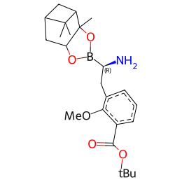 COc1c(C[C@H](N)B2OC3CC4CC(C4(C)C)C3(C)O2)cccc1C(=O)OC(C)(C)C